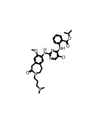 COc1cc2c(cc1Nc1ncc(Cl)c(Nc3ccccc3C(=O)OC(C)C)n1)CCN(CCCN(C)C)C(=O)C2